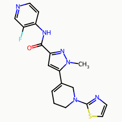 Cn1nc(C(=O)Nc2ccncc2F)cc1C1=CCCN(c2nccs2)C1